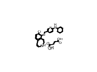 Clc1ccc2c(c1SCc1ccc(NC3CCCCC3)nc1)CCNCC2.O=C(O)CCC(=O)O